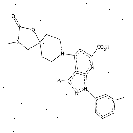 Cc1cccc(-n2nc(C(C)C)c3c(N4CCC5(CC4)CN(C)C(=O)O5)cc(C(=O)O)nc32)c1